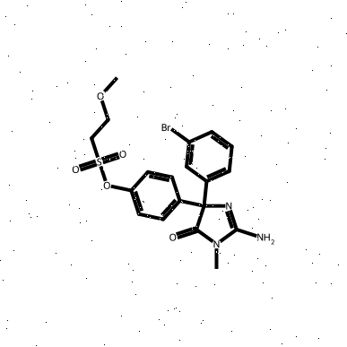 COCCS(=O)(=O)Oc1ccc(C2(c3cccc(Br)c3)N=C(N)N(C)C2=O)cc1